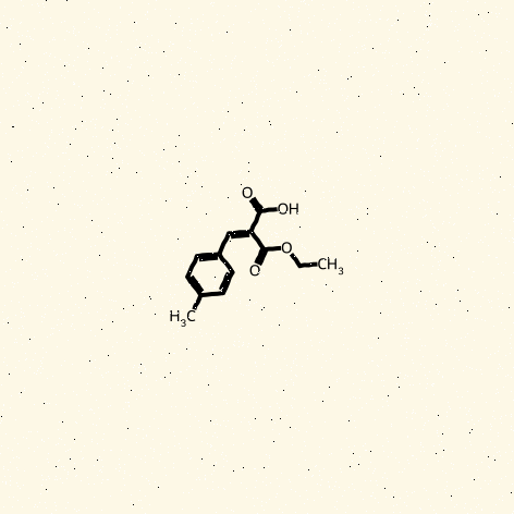 CCOC(=O)C(=Cc1ccc(C)cc1)C(=O)O